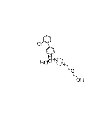 Cl.Cl.OCCOCCN1CCN(Cc2ccc(-c3ccccc3Cl)cc2)CC1